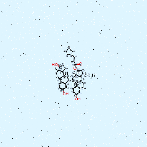 CC(=O)O.C[C@]12CC[C@@H]3c4ccc(O)cc4CC[C@H]3[C@@H]1CC[C@@H]2O.C[C@]12CC[C@@H]3c4ccc(O)cc4CC[C@H]3[C@@H]1CC[C@@H]2OC(=O)CCC1CCCC1